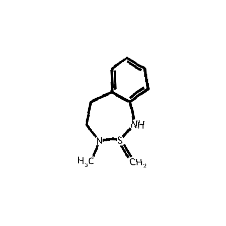 C=S1Nc2ccccc2CCN1C